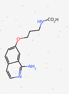 Nc1nccc2ccc(OCCCNC(=O)O)cc12